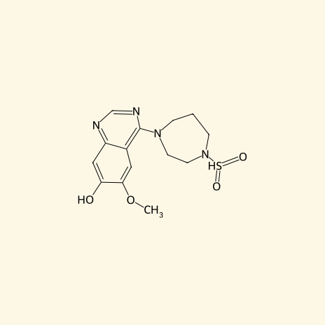 COc1cc2c(N3CCCN([SH](=O)=O)CC3)ncnc2cc1O